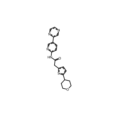 O=C(Cc1ccc(C2CCOCC2)s1)Nc1ccc(-c2cnccn2)cn1